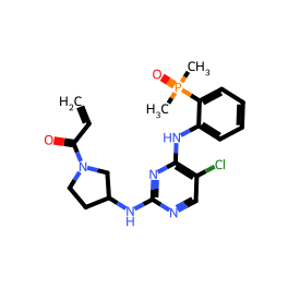 C=CC(=O)N1CCC(Nc2ncc(Cl)c(Nc3ccccc3P(C)(C)=O)n2)C1